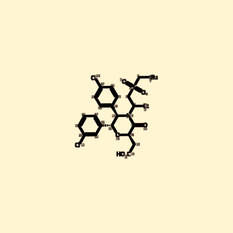 CCC(CS(=O)(=O)CC(C)(C)C)N1C(=O)[C@@H](CC(=O)O)O[C@H](c2cccc(Cl)c2)[C@H]1c1ccc(Cl)cc1